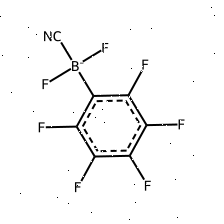 N#C[B-](F)(F)c1c(F)c(F)c(F)c(F)c1F